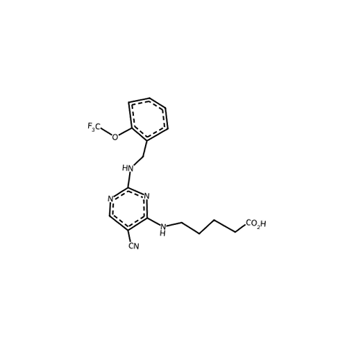 N#Cc1cnc(NCc2ccccc2OC(F)(F)F)nc1NCCCCC(=O)O